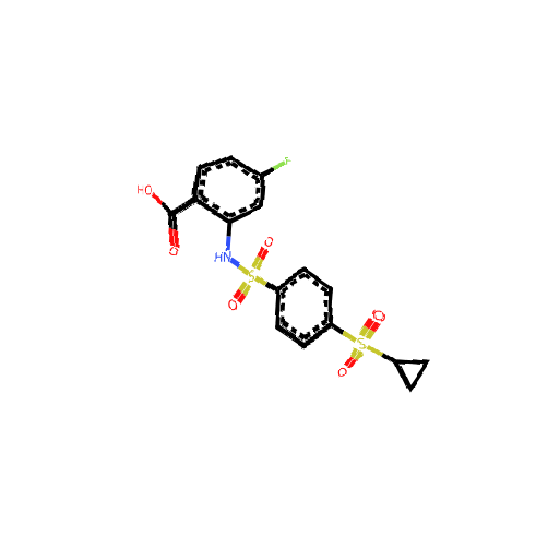 O=C(O)c1ccc(F)cc1NS(=O)(=O)c1ccc(S(=O)(=O)C2CC2)cc1